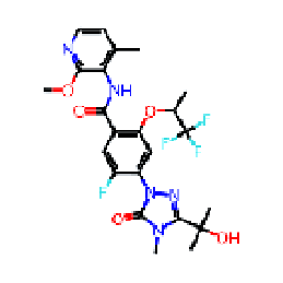 COc1nccc(C)c1NC(=O)c1cc(F)c(-n2nc(C(C)(C)O)n(C)c2=O)cc1OC(C)C(F)(F)F